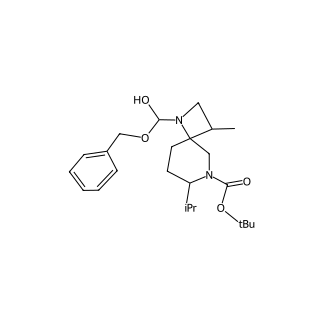 CC(C)C1CCC2(CN1C(=O)OC(C)(C)C)C(C)CN2C(O)OCc1ccccc1